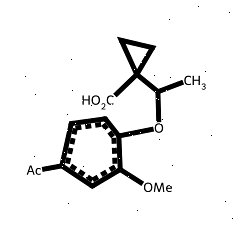 COc1cc(C(C)=O)ccc1OC(C)C1(C(=O)O)CC1